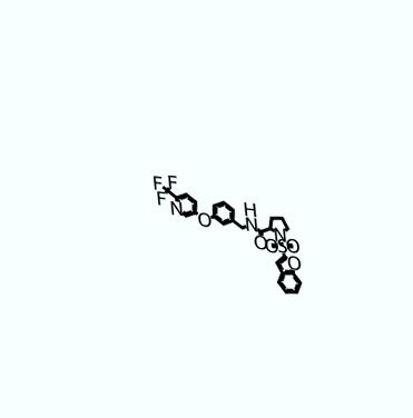 O=C(NCc1cccc(Oc2ccc(C(F)(F)F)nc2)c1)C1CCCN1S(=O)(=O)c1cc2ccccc2o1